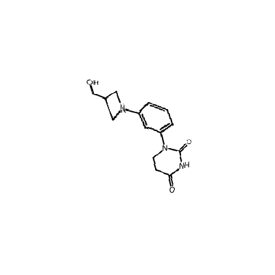 O=C1CCN(c2cccc(N3CC(CO)C3)c2)C(=O)N1